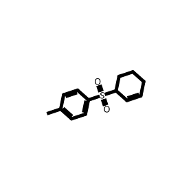 Cc1ccc(S(=O)(=O)C2C=CCCC2)cc1